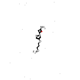 NC12CC(n3cc(OCCCOC(F)(F)F)cn3)(C1)C2